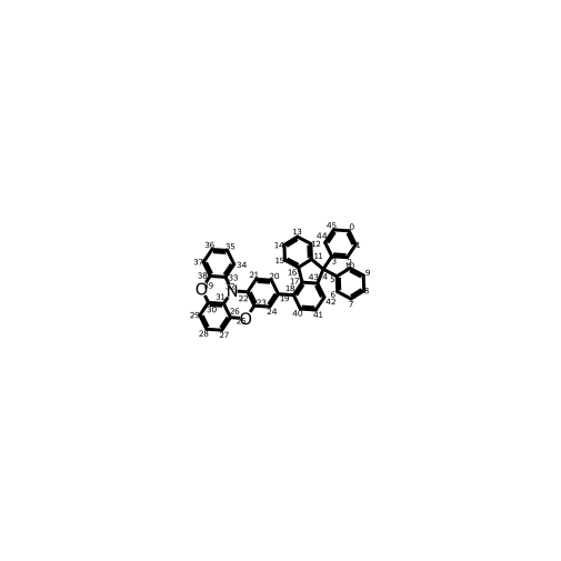 c1ccc(C2(c3ccccc3)c3ccccc3-c3c(-c4ccc5c(c4)Oc4cccc6c4N5c4ccccc4O6)cccc32)cc1